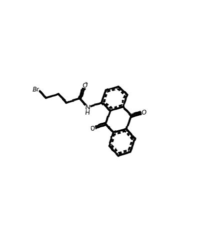 O=C(CCCBr)Nc1cccc2c1C(=O)c1ccccc1C2=O